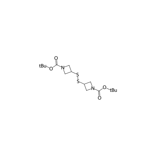 CC(C)(C)OC(=O)N1CC(SSC2CN(C(=O)OC(C)(C)C)C2)C1